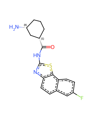 N[C@@H]1CCC[C@H](C(=O)Nc2nc3ccc4cc(F)ccc4c3s2)C1